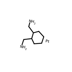 NCC1CCCCC1CN.[Pt]